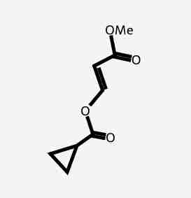 COC(=O)C=COC(=O)C1CC1